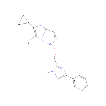 Cn1cc(-c2ccccc2)nc1COc1ccc2nc(C3CC3)c(CO)n2n1